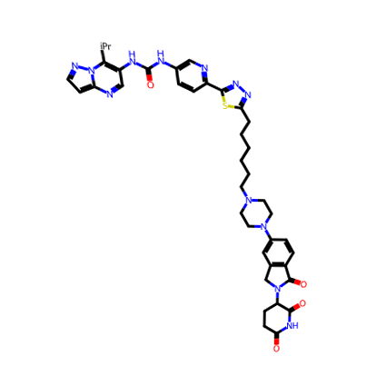 CC(C)c1c(NC(=O)Nc2ccc(-c3nnc(CCCCCCN4CCN(c5ccc6c(c5)CN(C5CCC(=O)NC5=O)C6=O)CC4)s3)nc2)cnc2ccnn12